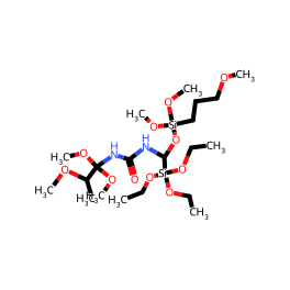 CCO[Si](OCC)(OCC)C(NC(=O)NC(OC)(OC)C(C)OC)O[Si](CCCOC)(OC)OC